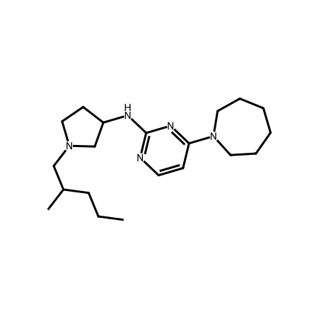 CCCC(C)CN1CCC(Nc2nccc(N3CCCCCC3)n2)C1